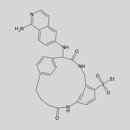 CCS(=O)(=O)c1ccc2cc1CNC(=O)C(Nc1ccc3c(N)nccc3c1)c1ccc(cc1)CCCC(=O)N2